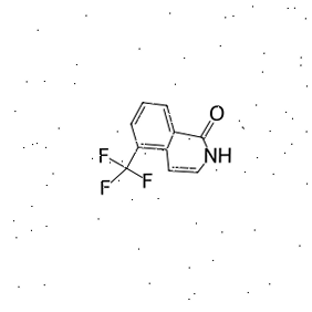 O=c1[nH]ccc2c(C(F)(F)F)cccc12